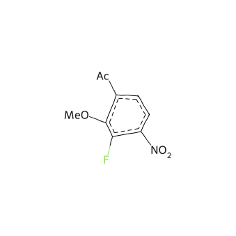 COc1c(C(C)=O)ccc([N+](=O)[O-])c1F